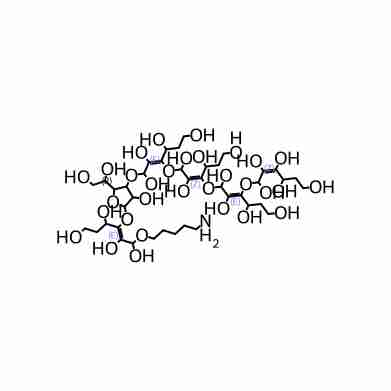 NCCCCCOC(O)/C(O)=C(\OC1OC([C@H](O)CO)C(OC(O)/C(O)=C(\OC(O)/C(O)=C(/OC(O)/C(O)=C(\OC(O)/C(O)=C(/O)C(O)CCO)C(O)CCO)C(O)CCO)C(O)CCO)C1O)C(O)CCO